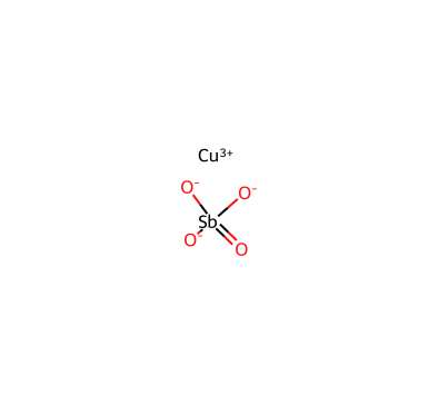 [Cu+3].[O]=[Sb]([O-])([O-])[O-]